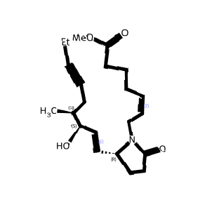 CCC#CC[C@H](C)[C@H](O)/C=C/[C@H]1CCC(=O)N1C/C=C\CCCC(=O)OC